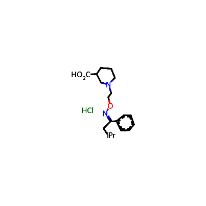 CC(C)CC(=NOCCN1CCCC(C(=O)O)C1)c1ccccc1.Cl